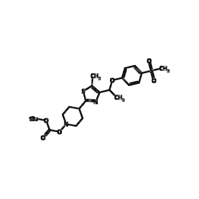 Cc1sc(C2CCN(OC(=O)OC(C)(C)C)CC2)nc1C(C)Oc1ccc(S(C)(=O)=O)cc1